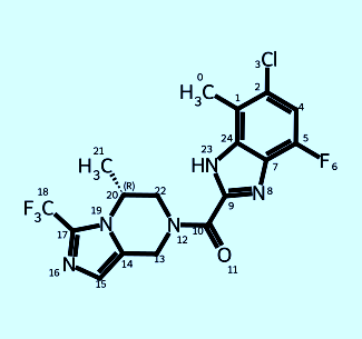 Cc1c(Cl)cc(F)c2nc(C(=O)N3Cc4cnc(C(F)(F)F)n4[C@H](C)C3)[nH]c12